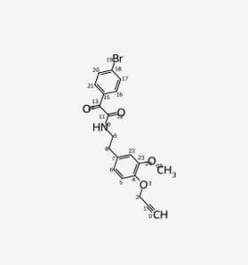 C#CCOc1ccc(CCNC(=O)C(=O)c2ccc(Br)cc2)cc1OC